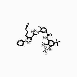 COc1c(NC(=O)c2ccc(C)c(-n3cc(-c4cnn(-c5ccccc5)c4CCCC#N)nn3)c2)cc(C(C)(C)C)cc1NS(C)(=O)=O